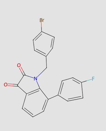 O=C1C(=O)N(Cc2ccc(Br)cc2)c2c1cccc2-c1ccc(F)cc1